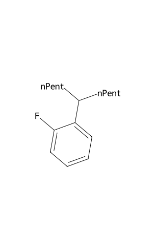 CCCCCC(CCCCC)c1ccccc1F